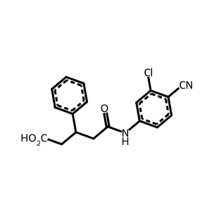 N#Cc1ccc(NC(=O)CC(CC(=O)O)c2ccccc2)cc1Cl